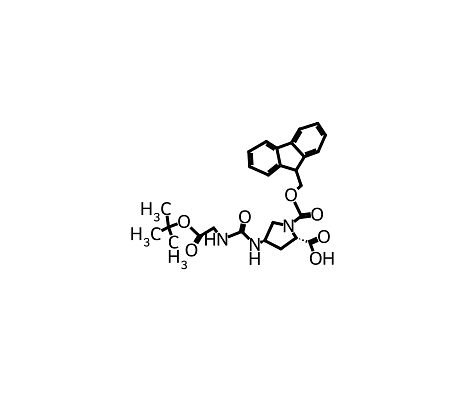 CC(C)(C)OC(=O)CNC(=O)N[C@@H]1C[C@@H](C(=O)O)N(C(=O)OCC2c3ccccc3-c3ccccc32)C1